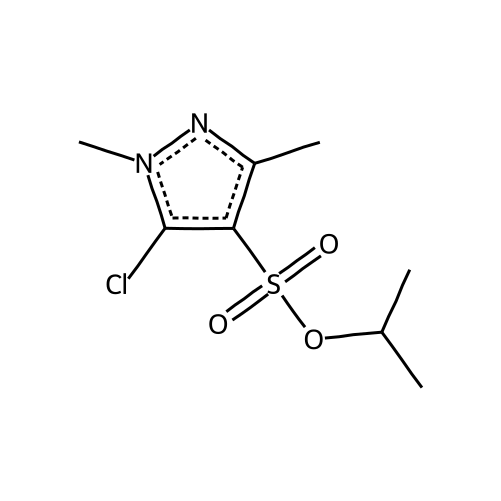 Cc1nn(C)c(Cl)c1S(=O)(=O)OC(C)C